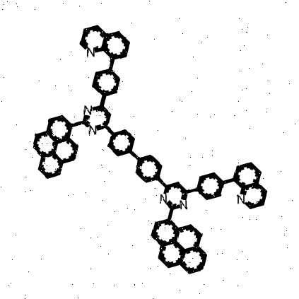 c1cnc2c(-c3ccc(-c4cc(-c5ccc(-c6ccc(-c7cc(-c8ccc(-c9cccc%10cccnc9%10)cc8)nc(-c8ccc9ccc%10cccc%11ccc8c9c%10%11)n7)cc6)cc5)nc(-c5ccc6ccc7cccc8ccc5c6c78)n4)cc3)cccc2c1